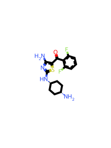 Nc1nc(N[C@H]2CC[C@@H](N)CC2)sc1C(=O)c1c(F)cccc1F